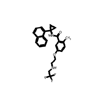 Cc1ccc(OCCNCC(F)(F)F)cc1C(=O)NC1(c2cccc3ccccc23)CC1